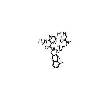 Cc1cccc2cc(CNC(=O)c3nccnc3N)c(NCCCN(C)C(=O)CN)nc12